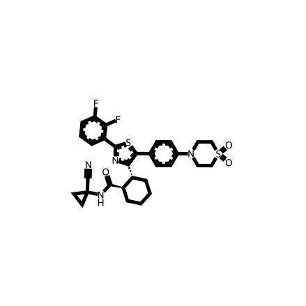 N#CC1(NC(=O)[C@@H]2CCCC[C@H]2c2nc(-c3cccc(F)c3F)sc2-c2ccc(N3CCS(=O)(=O)CC3)cc2)CC1